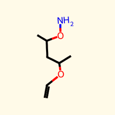 C=COC(C)CC(C)ON